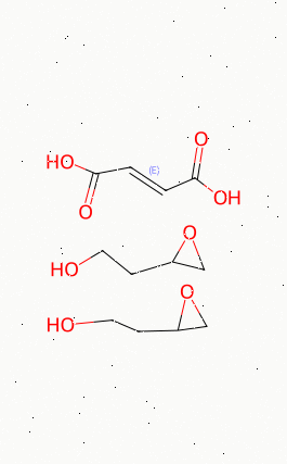 O=C(O)/C=C/C(=O)O.OCCC1CO1.OCCC1CO1